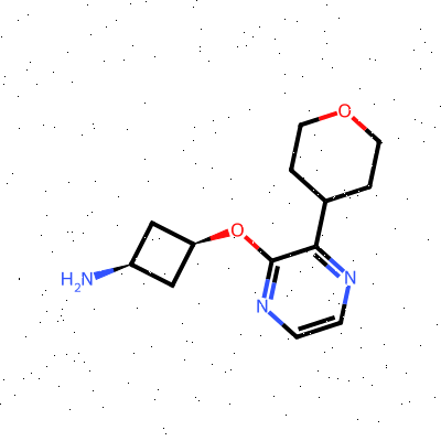 N[C@H]1C[C@@H](Oc2nccnc2C2CCOCC2)C1